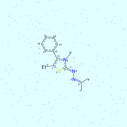 CCc1s/c(=N\N=C(C)C)n(C)c1-c1ccccc1